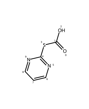 O=C(O)Sc1ncccn1